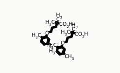 Cc1ccc(C)c(OCCCC(C)(C)C(=O)O)c1.Cc1ccc(C)c(OCCCC(C)(C)C(=O)O)c1